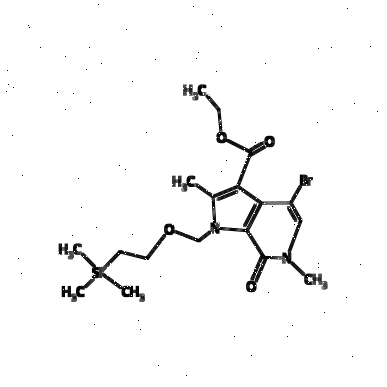 CCOC(=O)c1c(C)n(COCC[Si](C)(C)C)c2c(=O)n(C)cc(Br)c12